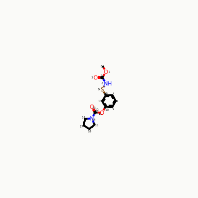 COC(=O)NSc1cccc(OC(=O)N2CCCC2)c1